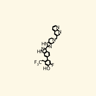 Oc1cc(CC(F)(F)F)c(-c2ccc3c(-c4nc5c([nH]4)CCN(Cc4cnc6ncccc6c4)C5)n[nH]c3c2)cc1F